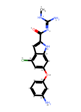 CNC(N)=NC(=O)c1cc2c(Cl)cc(Oc3cccc(N)c3)cc2[nH]1